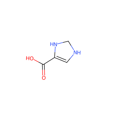 O=C(O)C1=CNCN1